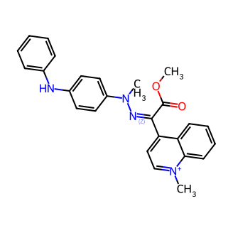 COC(=O)/C(=N\N(C)c1ccc(Nc2ccccc2)cc1)c1cc[n+](C)c2ccccc12